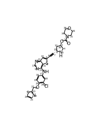 O=C(O[C@H]1CN[C@H](C#Cc2cc3ncnc(Nc4ccc(OCc5nccs5)c(Cl)c4)c3s2)C1)N1CCOCC1